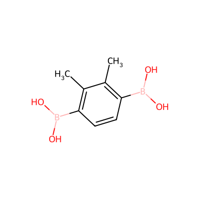 Cc1c(B(O)O)ccc(B(O)O)c1C